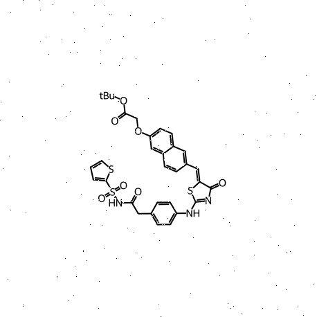 CC(C)(C)OC(=O)COc1ccc2cc(/C=C3\SC(Nc4ccc(CC(=O)NS(=O)(=O)c5cccs5)cc4)=NC3=O)ccc2c1